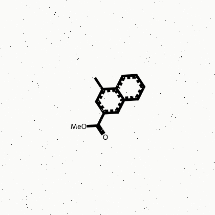 [CH2]c1cc(C(=O)OC)cc2ccccc12